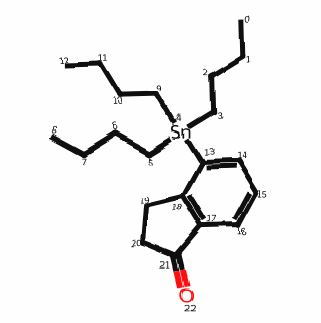 CCC[CH2][Sn]([CH2]CCC)([CH2]CCC)[c]1cccc2c1CCC2=O